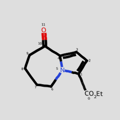 CCOC(=O)c1ccc2n1CCCCC2=O